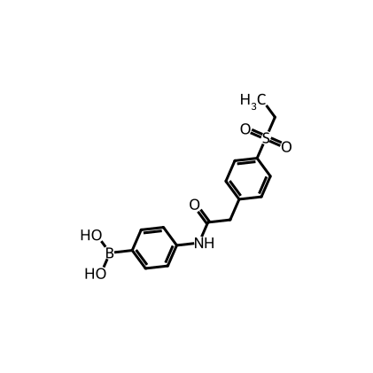 CCS(=O)(=O)c1ccc(CC(=O)Nc2ccc(B(O)O)cc2)cc1